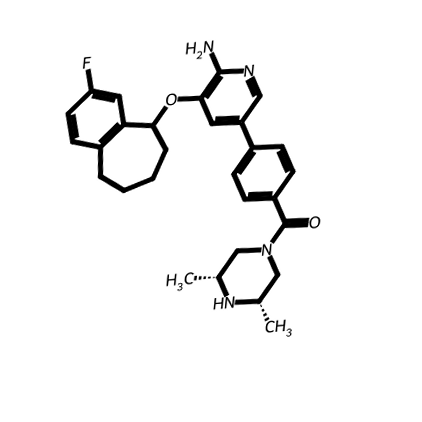 C[C@@H]1CN(C(=O)c2ccc(-c3cnc(N)c(OC4CCCCc5ccc(F)cc54)c3)cc2)C[C@H](C)N1